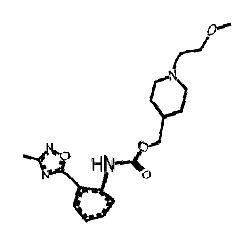 COCCN1CCC(COC(=O)Nc2ccccc2-c2nc(C)no2)CC1